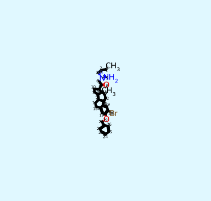 CC/C=C\N(N)CC(=O)C1CCC2C3CCc4cc(OCc5ccccc5)c(Br)cc4C3CCC12C